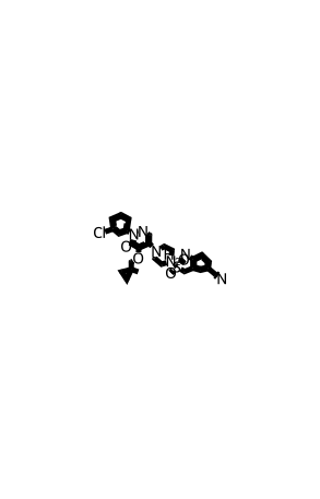 CC1(COc2c(N3CCN(S(=O)(=O)Cc4cc(C#N)ccc4N)CC3)cnn(-c3cccc(Cl)c3)c2=O)CC1